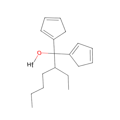 CCCCC(CC)C([O][Hf])(C1=CC=CC1)C1=CC=CC1